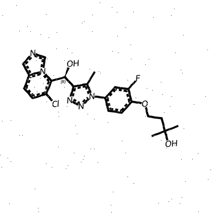 Cc1c([C@H](O)c2c(Cl)ccc3cncn23)nnn1-c1ccc(OCCC(C)(C)O)c(F)c1